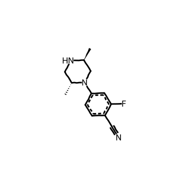 C[C@@H]1CN[C@@H](C)CN1c1ccc(C#N)c(F)c1